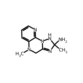 CN1CC2=NC(C)(N)NN2c2ncccc21